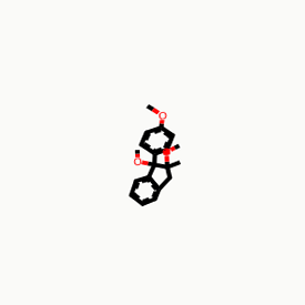 COc1ccc(C2(OC)c3ccccc3CC2(C)OC)cc1